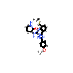 COc1ccc(-c2nc3c4cccc(CSC)c4nc(N[C@@H]4CCCCNC4=O)n3n2)cc1